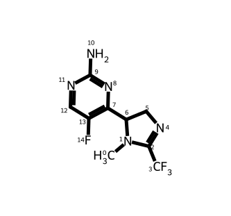 CN1C(C(F)(F)F)=NCC1c1nc(N)ncc1F